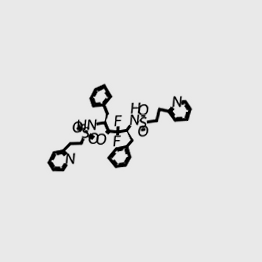 O=C([C@H](Cc1ccccc1)NS(=O)(=O)CCc1ccccn1)C(F)(F)[C@H](Cc1ccccc1)NS(=O)(=O)CCc1ccccn1